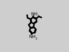 CCc1cc2c(c(CC)c1N)Cc1cc(N)ccc1-2